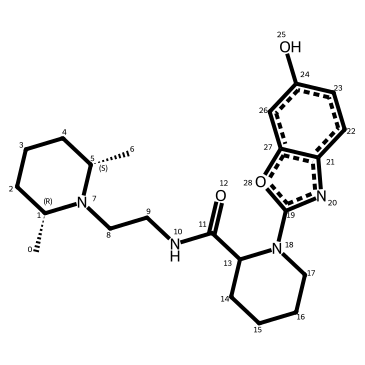 C[C@@H]1CCC[C@H](C)N1CCNC(=O)C1CCCCN1c1nc2ccc(O)cc2o1